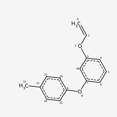 C=COc1cccc(Oc2ccc(C)cc2)c1